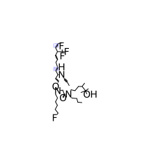 CC#CNC(C=CON(CCCCCCF)CC(=O)N(CCCC)CCCC(C)C(C)(C)O)/C=C/CC=CC(/C=C\C)C(F)(F)F